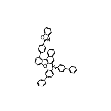 c1ccc(-c2ccc(N(c3ccc(-c4ccccc4)cc3)c3cc4ccccc4c4c3oc3cccc(-c5ccc(-c6nc7ccccc7o6)cc5)c34)cc2)cc1